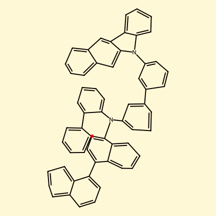 c1ccc(-c2ccccc2N(c2cccc(-c3cccc(-n4c5ccccc5c5cc6ccccc6cc54)c3)c2)c2ccc(-c3cccc4ccccc34)c3ccccc23)cc1